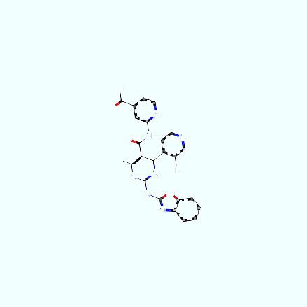 CC(=O)c1ccnc(NC(=O)C2=C(C)NC(Nc3nc4ccccc4o3)=NC2c2ccncc2Br)c1